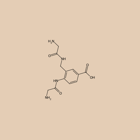 NCC(=O)NCc1cc(C(=O)O)ccc1NC(=O)CN